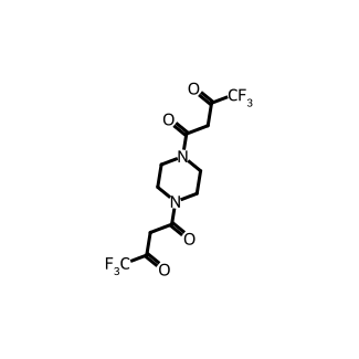 O=C(CC(=O)C(F)(F)F)N1CCN(C(=O)CC(=O)C(F)(F)F)CC1